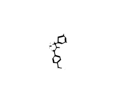 CC(Br)c1ccc(C2=NOC(c3cc(Cl)cc(Cl)c3)(C(F)(F)F)C2Br)cc1